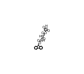 O=C(CNC(=O)OCC1c2ccccc2-c2ccccc21)NCC(=O)OC1CC(=O)NC1=O